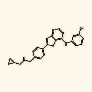 Oc1cccc(Nc2ncnc3cc(-c4ccc(CNCC5CC5)cc4)sc23)c1